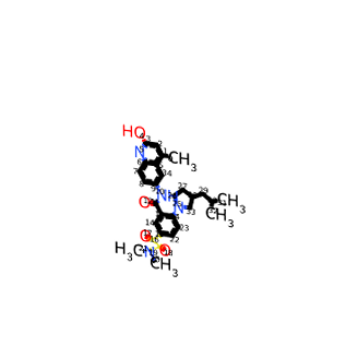 Cc1cc(O)nc2ccc(NC(=O)c3cc(S(=O)(=O)N(C)C)ccc3N3CCC(CC(C)C)C3)cc12